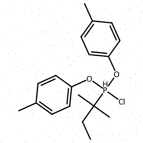 CCC(C)(C)[PH](Cl)(Oc1ccc(C)cc1)Oc1ccc(C)cc1